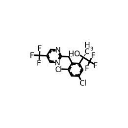 C[C@@](O)(c1cc(Cl)cc(Cl)c1[CH]c1ncc(C(F)(F)F)cn1)C(F)(F)F